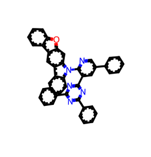 c1ccc(-c2cnc(-n3c4ccccc4c4cc5c(cc43)oc3ccccc35)c(-c3nc(-c4ccccc4)nc(-c4ccccc4)n3)c2)cc1